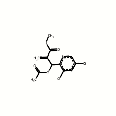 C=C(C(=O)OC)C(OC(C)=O)c1ncc(Cl)cc1Cl